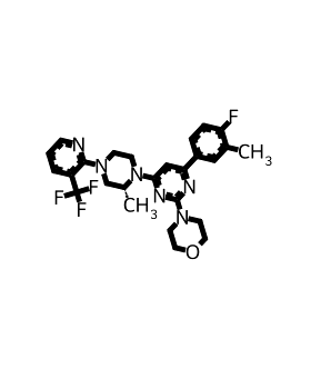 Cc1cc(-c2cc(N3CCN(c4ncccc4C(F)(F)F)C[C@H]3C)nc(N3CCOCC3)n2)ccc1F